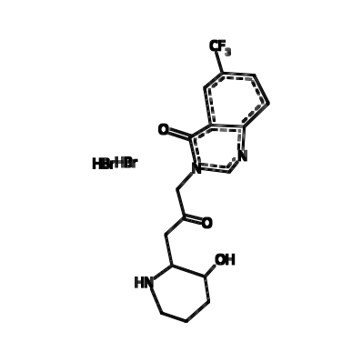 Br.Br.O=C(CC1NCCCC1O)Cn1cnc2ccc(C(F)(F)F)cc2c1=O